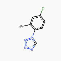 CCCc1cc(Cl)ccc1-n1cnnn1